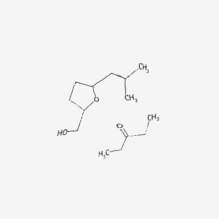 CC(C)CC1CCC(CO)O1.CCC(=O)CC